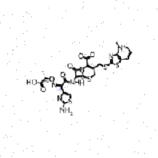 C[C@H](O/N=C(\C(=O)NC1C(=O)N2C(C(=O)[O-])=C(CSc3nc4c(ccc[n+]4C)s3)CS[C@@H]12)c1csc(N)n1)C(=O)O